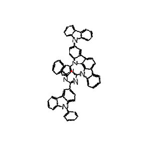 c1ccc(-c2nc(-c3ccc4c(c3)c3ccccc3n4-c3ccccc3)nc(-n3c4ccccc4c4ccc5c6cc(-n7c8ccccc8c8ccccc87)ccc6n(-c6ccccc6)c5c43)n2)cc1